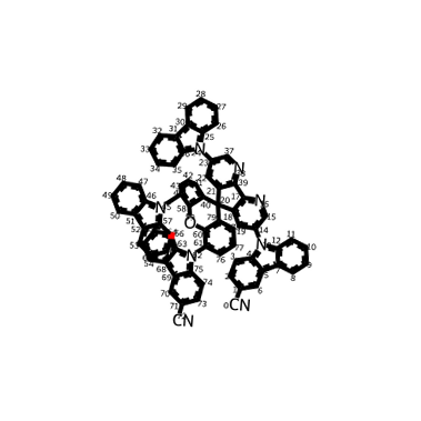 N#Cc1ccc2c(c1)c1ccccc1n2-c1cnc2c(c1)C1(c3cc(-n4c5ccccc5c5ccccc54)cnc3-2)c2cccc(-n3c4ccccc4c4ccccc43)c2Oc2c(-n3c4ccccc4c4cc(C#N)ccc43)cccc21